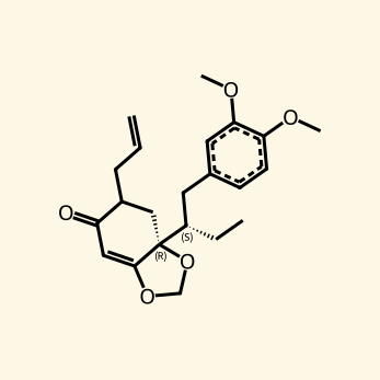 C=CCC1C[C@]2([C@@H](CC)Cc3ccc(OC)c(OC)c3)OCOC2=CC1=O